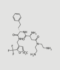 Cc1cc(CNC(=O)[C@H](CCc2ccccc2)NC(=O)[C@@H](N)CC(=O)N(CCN)CCN)c(C(F)(F)F)o1